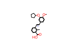 COc1ccc(/C=C/c2cccc(C(=O)O)c2C)cc1OC1CCCC1